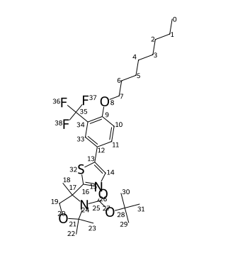 CCCCCCCCOc1ccc(-c2cnc(C3(C)COC(C)(C)N3C(=O)OC(C)(C)C)s2)cc1C(F)(F)F